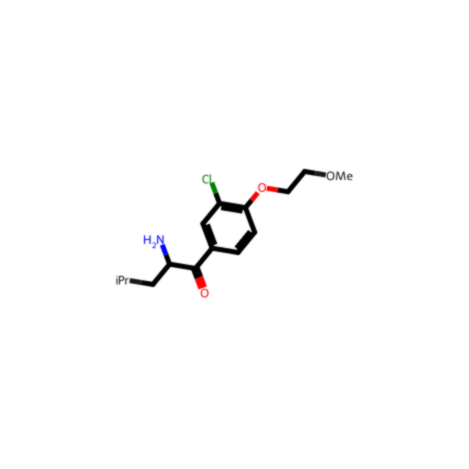 COCCOc1ccc(C(=O)C(N)CC(C)C)cc1Cl